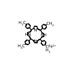 Cc1ccc(-c2c3nc(c(-c4ccc(C)cc4)c4ccc([nH]4)c(-c4ccc(C)cc4)c4nc(c(-c5ccc(C)cc5)c5ccc2[nH]5)C=C4)C=C3)cc1.[Fe+2]